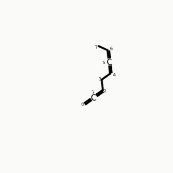 C=C=CCC=C=CC